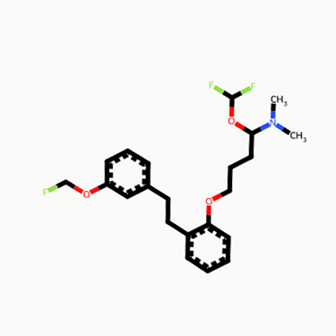 CN(C)C(CCCOc1ccccc1CCc1cccc(OCF)c1)OC(F)F